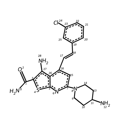 NC(=O)c1sc2nc(N3CCC(N)CC3)cc(/C=C/c3cccc(Cl)c3)c2c1N